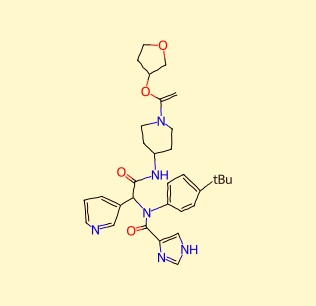 C=C(OC1CCOC1)N1CCC(NC(=O)C(c2cccnc2)N(C(=O)c2c[nH]cn2)c2ccc(C(C)(C)C)cc2)CC1